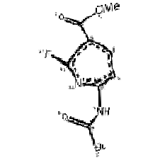 COC(=O)c1ccc(NC(=O)C(C)(C)C)nc1F